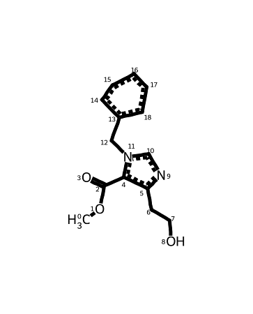 COC(=O)c1c(CCO)ncn1Cc1ccccc1